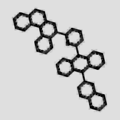 c1cc(-c2c3ccccc3c(-c3ccc4ccccc4c3)c3ccccc23)nc(-c2cc3ccc4ccccc4c3c3ccccc23)c1